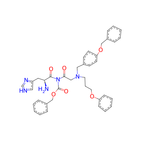 N[C@@H](Cc1c[nH]cn1)C(=O)N(C(=O)CN(CCCOc1ccccc1)Cc1ccc(OCc2ccccc2)cc1)C(=O)OCc1ccccc1